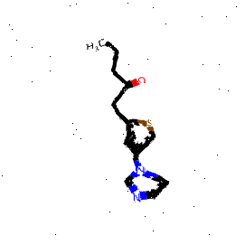 CCCC(=O)Cc1cc(-n2ccnc2)cs1